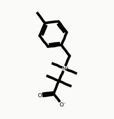 Cc1ccc(C[N+](C)(C)C(C)(C)C(=O)[O-])cc1